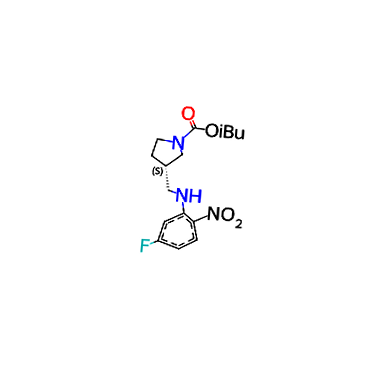 CC(C)COC(=O)N1CC[C@@H](CNc2cc(F)ccc2[N+](=O)[O-])C1